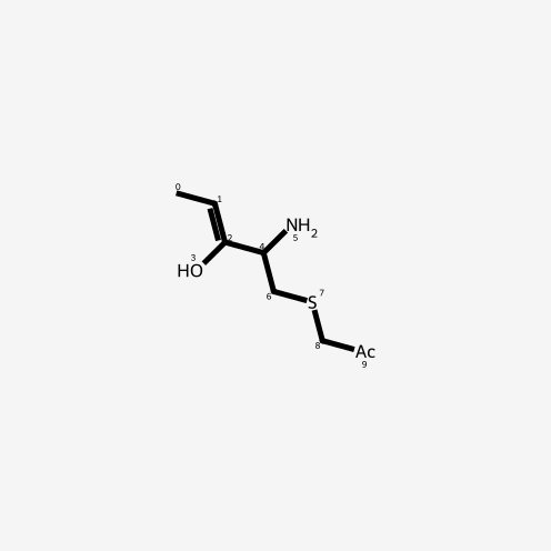 CC=C(O)C(N)CSCC(C)=O